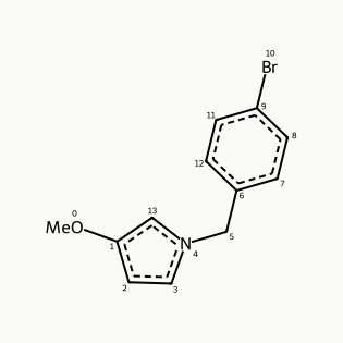 COc1ccn(Cc2ccc(Br)cc2)c1